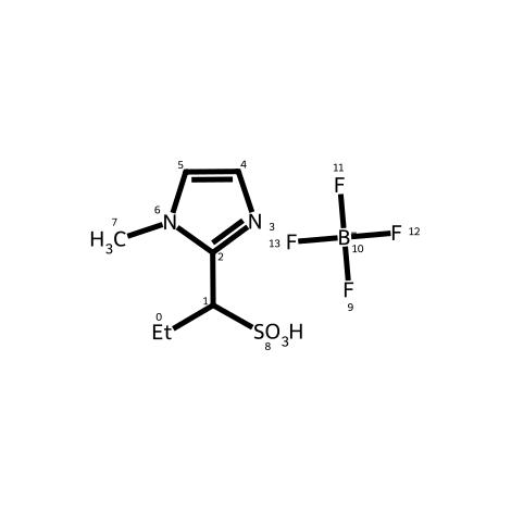 CCC(c1nccn1C)S(=O)(=O)O.F[B-](F)(F)F